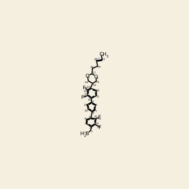 BCc1ccc(-c2ccc(-c3ccc(C4COC(CC/C=C/C)OC4)c(F)c3F)cc2)c(F)c1F